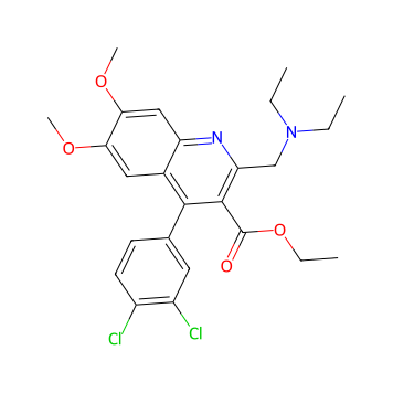 CCOC(=O)c1c(CN(CC)CC)nc2cc(OC)c(OC)cc2c1-c1ccc(Cl)c(Cl)c1